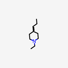 CCC=C1CCN(CC)CC1